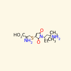 CCC(CC(C)(C)N)N1C(=O)C=C(SC[C@@H](N)C(=O)O)C1=O